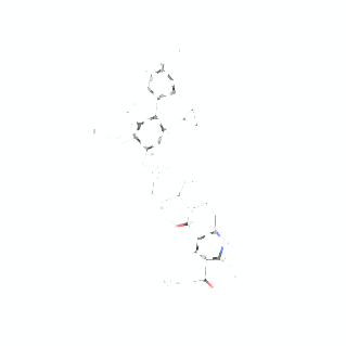 COC(=O)c1cc2c(nc1C)CCN(C1CCN(Cc3cc(C4CC4)c(-c4ccc(F)cc4)c(Cl)c3OC(C)C)CC1)C2=O